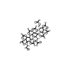 CC(=O)OC[C@H]1O[C@H](O[C@@H]2[C@H](OC(C)=O)[C@@H](OC(C)=O)[C@H](O[C@H]3[C@H](OC(C)=O)[C@@H](OC(C)=O)[C@H](OCCBr)O[C@@H]3COC(C)=O)O[C@@H]2COC(C)=O)[C@H](OC(C)=O)[C@@H](OC(C)=O)[C@H]1OC(C)=O